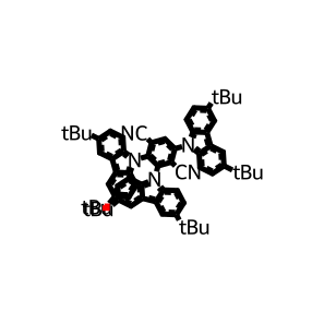 CC(C)(C)c1ccc2c(c1)c1cc(C(C)(C)C)ccc1n2-c1cc(C#N)c(-n2c3ccc(C(C)(C)C)cc3c3cc(C(C)(C)C)ccc32)c(-n2c3ccc(C(C)(C)C)cc3c3cc(C(C)(C)C)ccc32)c1C#N